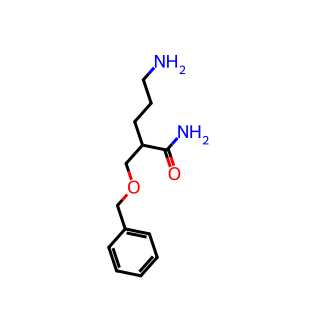 NCCCC(COCc1ccccc1)C(N)=O